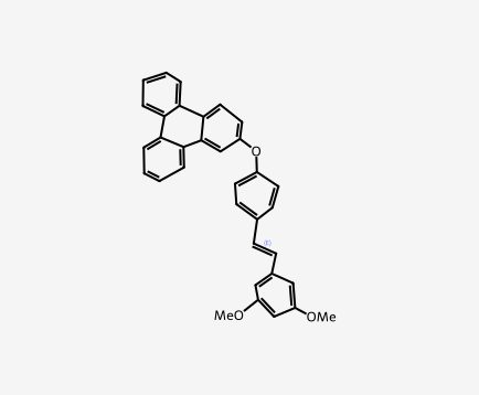 COc1cc(/C=C/c2ccc(Oc3ccc4c5ccccc5c5ccccc5c4c3)cc2)cc(OC)c1